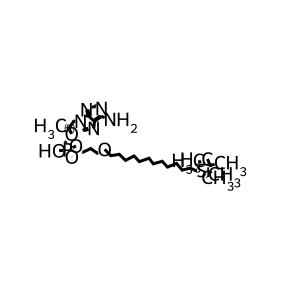 C[C@H](Cn1cnc2c(N)ncnc21)OCP(=O)(O)OCCCOCCCCCCCCCCCCC[Si](C)(C)C(C)(C)C